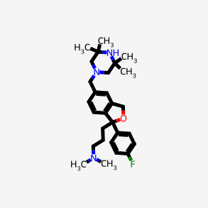 CN(C)CCCC1(c2ccc(F)cc2)OCc2cc(CN3CC(C)(C)NC(C)(C)C3)ccc21